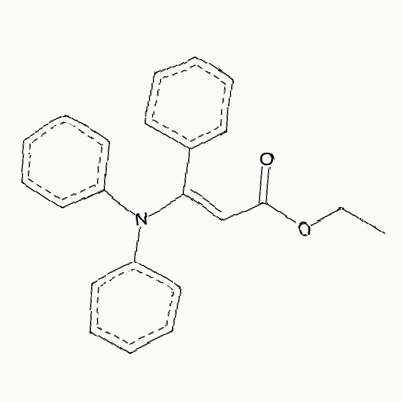 CCOC(=O)/C=C(\c1ccccc1)N(c1ccccc1)c1ccccc1